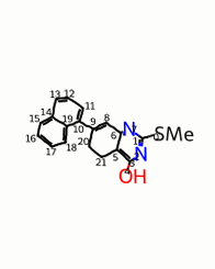 CSc1nc(O)c2c(n1)C=C(c1cccc3ccccc13)CC2